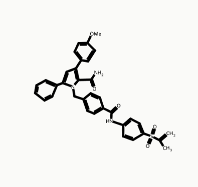 C=C(C)S(=O)(=O)c1ccc(NC(=O)c2ccc(Cn3c(-c4ccccc4)cc(-c4ccc(OC)cc4)c3C(N)=O)cc2)cc1